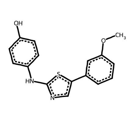 COc1cccc(-c2cnc(Nc3ccc(O)cc3)s2)c1